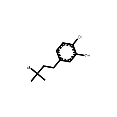 CCC(C)(C)CCc1ccc(O)c(O)c1